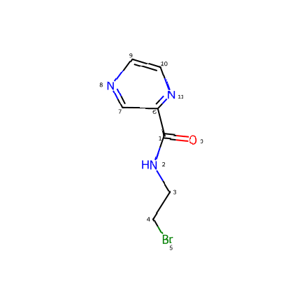 O=C(NCCBr)c1cnccn1